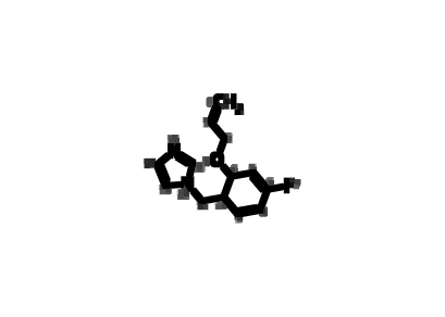 C=CCOC1C=C(F)C=CC1Cn1ccnc1